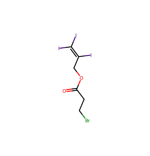 O=C(CCBr)OCC(I)=C(I)I